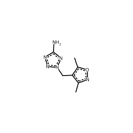 Cc1noc(C)c1Cn1nnc(N)n1